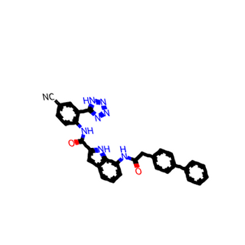 N#Cc1ccc(NC(=O)c2cc3cccc(NC(=O)Cc4ccc(-c5ccccc5)cc4)c3[nH]2)c(-c2nnn[nH]2)c1